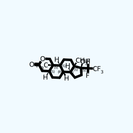 C[C@]12COC(=O)C[C@@H]1CC[C@@H]1[C@@H]2CC[C@@]2(C)[C@H]1CC[C@@]2(O)C(F)(F)C(F)(F)F